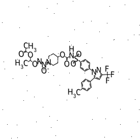 CC(=O)OC(C)ON=[N+]([O-])N1CCC(OC(=O)NS(=O)(=O)c2ccc(-n3nc(C(F)(F)F)cc3-c3ccc(C)cc3)cc2)CC1